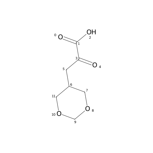 O=C(O)C(=O)CC1COCOC1